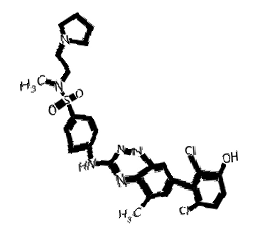 Cc1cc(-c2c(Cl)ccc(O)c2Cl)cc2nnc(Nc3ccc(S(=O)(=O)N(C)CCN4CCCC4)cc3)nc12